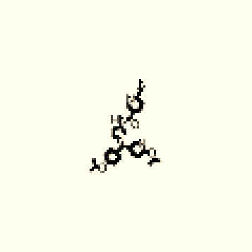 CC(C)Oc1ccc(C(c2ccc(OC(C)C)nc2)N2CCC(NC(=O)c3ccc(C#N)nc3)C2)cc1